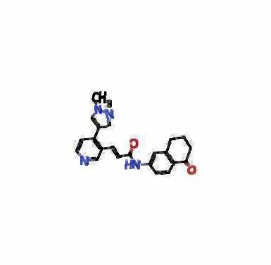 Cn1cc(-c2ccncc2/C=C/C(=O)Nc2ccc3c(c2)CCCC3=O)cn1